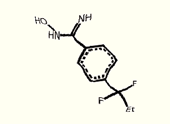 CCC(F)(F)c1ccc(C(=N)NO)cc1